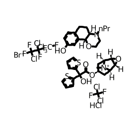 CCCN1CCO[C@@H]2c3cc(O)ccc3CC[C@H]21.C[N+]1(C)[C@@H]2C[C@@H](OC(=O)C(O)(c3cccs3)c3cccs3)C[C@H]1[C@@H]1O[C@@H]12.Cl.FC(Cl)(Cl)Cl.FC(F)(Cl)C(F)(F)Cl.FC(F)(Cl)Cl.[Br-]